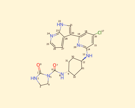 O=C1NCCN1C(=O)N[C@H]1CC[C@H](Nc2cc(Cl)cc(-c3c[nH]c4ncccc34)n2)CC1